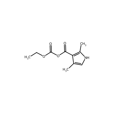 CCOC(=O)OC(=O)c1c(C)c[nH]c1C